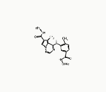 CCCNC(=O)c1cn2ncnc(Nc3cc(C(=O)NOC)ccc3C)c2c1C(F)(F)F